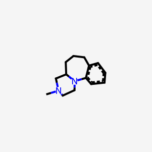 CN1CCN2c3ccccc3CCCC2C1